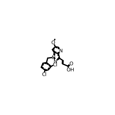 COc1cnc2c(C=CC(=O)O)nn(Cc3ccc(Cl)cc3Cl)c2c1